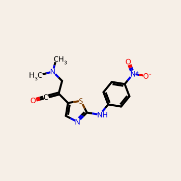 CN(C)CC(=C=O)c1cnc(Nc2ccc([N+](=O)[O-])cc2)s1